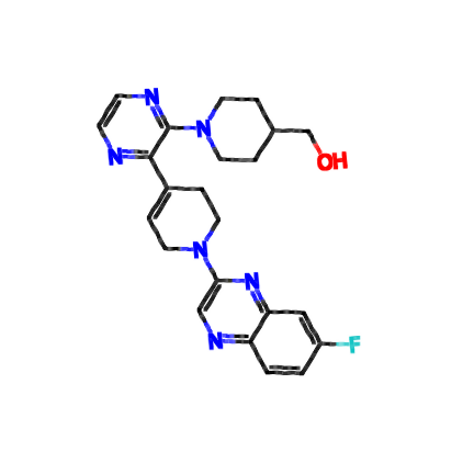 OCC1CCN(c2nccnc2C2=CCN(c3cnc4ccc(F)cc4n3)CC2)CC1